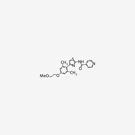 COCCOc1cc(C)c(-c2csc(NC(=O)c3ccncc3)n2)c(C)c1